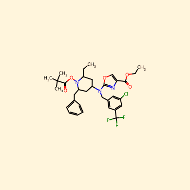 CCOC(=O)c1coc(N(Cc2cc(Cl)cc(C(F)(F)F)c2)C2CC(CC)N(OC(=O)C(C)(C)C)C(Cc3ccccc3)C2)n1